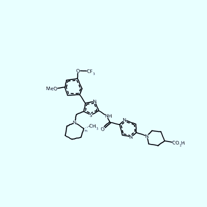 COc1cc(OC(F)(F)F)cc(-c2nc(NC(=O)c3cnc(N4CCC(C(=O)O)CC4)cn3)sc2CN2CCCC[C@H]2C)c1